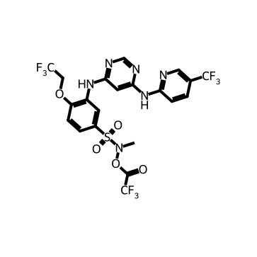 CN(OC(=O)C(F)(F)F)S(=O)(=O)c1ccc(OCC(F)(F)F)c(Nc2cc(Nc3ccc(C(F)(F)F)cn3)ncn2)c1